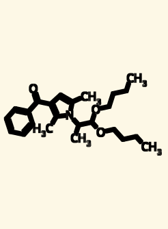 CCCCOC(OCCCC)C(C)n1c(C)cc(C(=O)c2ccccc2)c1C